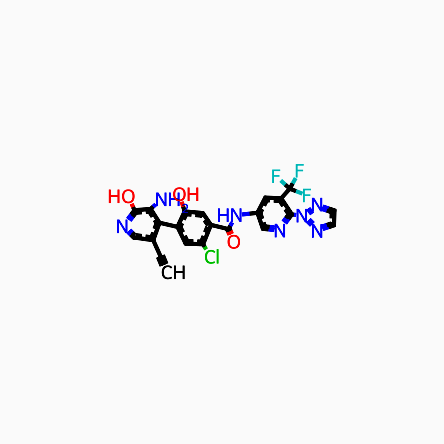 C#Cc1cnc(O)c(N)c1-c1cc(Cl)c(C(=O)Nc2cnc(-n3nccn3)c(C(F)(F)F)c2)cc1O